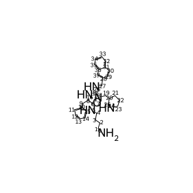 NCCCCNC(=O)C(Cc1ccccc1)NC(=NCC1CCCNC1)NCc1ccc2ccccc2c1